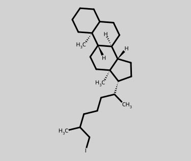 CC(CI)CCCC(C)[C@H]1CC[C@H]2[C@@H]3CCC4CCCC[C@]4(C)[C@H]3CC[C@]12C